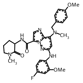 COc1ccc(CN(C)c2cc(Nc3ccc(F)cc3OC)nn3c(C(=O)NC4CCCN(C)C4=O)cnc23)cc1